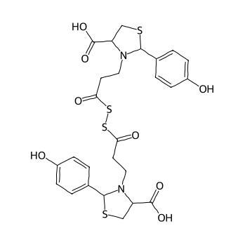 O=C(CCN1C(C(=O)O)CSC1c1ccc(O)cc1)SSC(=O)CCN1C(C(=O)O)CSC1c1ccc(O)cc1